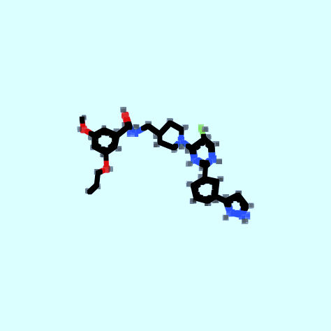 CCCOc1cc(OC)cc(C(=O)NCC2CCN(c3nc(-c4cccc(-c5cc[nH]n5)c4)ncc3F)CC2)c1